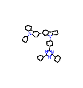 C1=C(c2ccc3c4ccccc4n(-c4ccc(-c5nc(-c6ccccc6)nc(-c6ccccc6)n5)cc4)c3c2)C=C2c3ccccc3N(c3ccccc3)C2C1